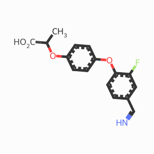 CC(Oc1ccc(Oc2ccc(C=N)cc2F)cc1)C(=O)O